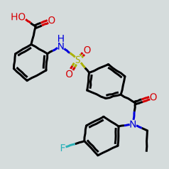 CCN(C(=O)c1ccc(S(=O)(=O)Nc2ccccc2C(=O)O)cc1)c1ccc(F)cc1